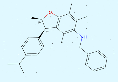 Cc1c(C)c2c(c(C)c1NCc1ccccc1)[C@@H](c1ccc(C(C)C)cc1)[C@@H](C)O2